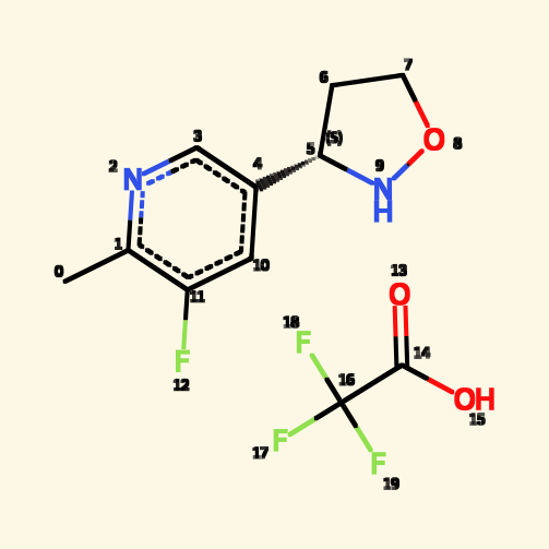 Cc1ncc([C@@H]2CCON2)cc1F.O=C(O)C(F)(F)F